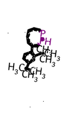 CC(C)(C)c1ccc(-c2cccccp[pH]c2)c(C(C)(C)C)c1